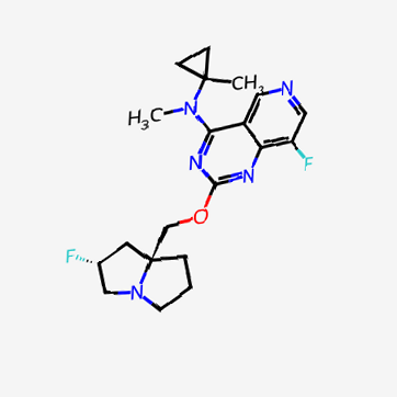 CN(c1nc(OC[C@@]23CCCN2C[C@H](F)C3)nc2c(F)cncc12)C1(C)CC1